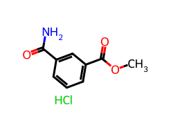 COC(=O)c1cccc(C(N)=O)c1.Cl